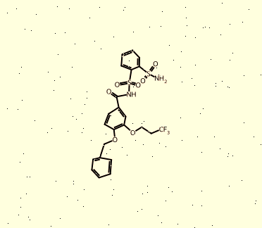 NS(=O)(=O)c1ccccc1S(=O)(=O)NC(=O)c1ccc(OCc2ccccc2)c(OCCC(F)(F)F)c1